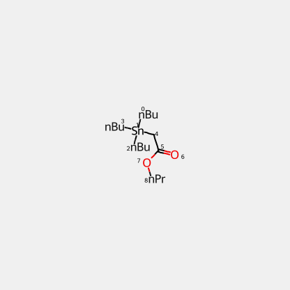 CCC[CH2][Sn]([CH2]CCC)([CH2]CCC)[CH2]C(=O)OCCC